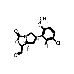 COc1ccc(Cl)c(Cl)c1[C@H]1C[C@H]2C(C=O)OC(=O)N2C1